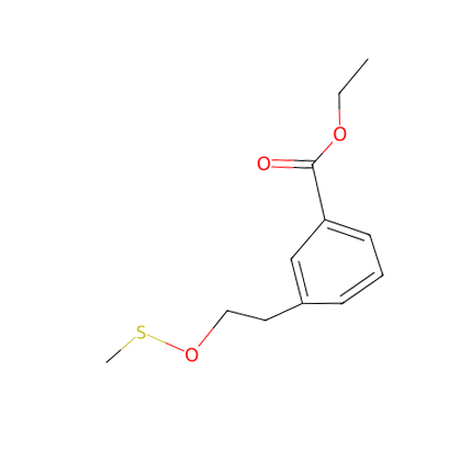 CCOC(=O)c1cccc(CCOSC)c1